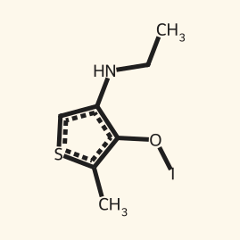 CCNc1csc(C)c1OI